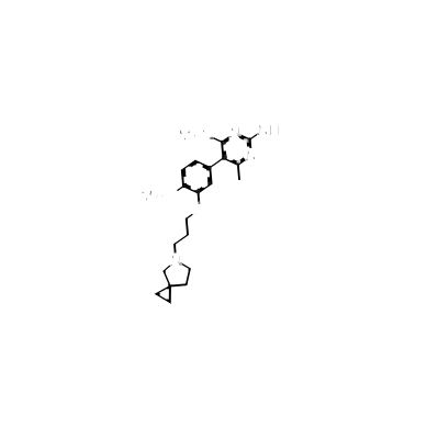 CNc1nc(N)nc(C)c1-c1ccc(OC)c(OCCCN2CCC3(CC3)C2)c1